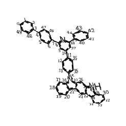 c1ccc(-c2ccc(-c3cc(-c4ccc(-n5c6ccccc6c6cc7c(cc65)[nH]c5ccccc57)cc4)cc(-c4ccccc4)n3)cc2)cc1